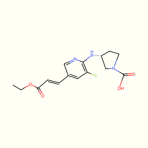 CCOC(=O)/C=C/c1cnc(N[C@@H]2CCN(C(=O)O)C2)c(F)c1